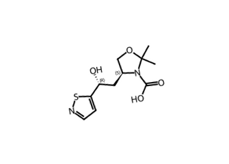 CC1(C)OC[C@H](C[C@@H](O)c2ccns2)N1C(=O)O